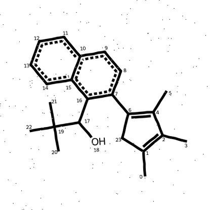 CC1=C(C)C(C)=C(c2ccc3ccccc3c2C(O)C(C)(C)C)C1